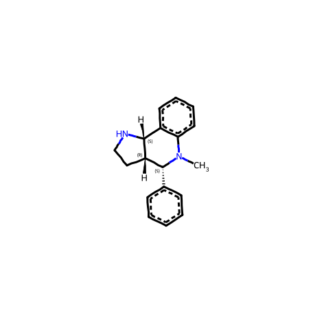 CN1c2ccccc2[C@H]2NCC[C@H]2[C@H]1c1ccccc1